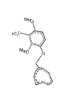 COc1ccc(OCc2ccccc2)c(OC)c1C(=O)O